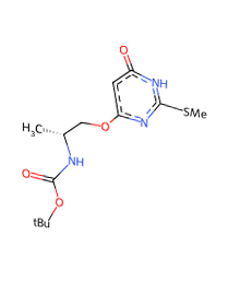 CSc1nc(OC[C@@H](C)NC(=O)OC(C)(C)C)cc(=O)[nH]1